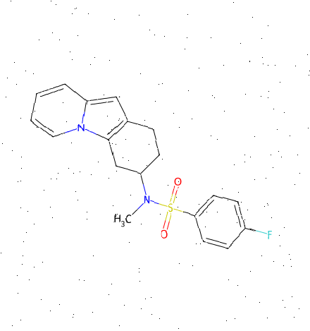 CN(C1CCc2[c]c3ccccn3c2C1)S(=O)(=O)c1ccc(F)cc1